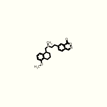 COc1cccc2c1CCCC2CN(C)CCc1ccc2cnoc(=O)c2c1